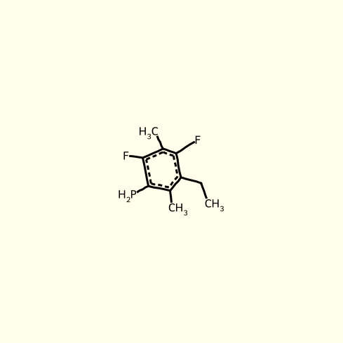 CCc1c(C)c(P)c(F)c(C)c1F